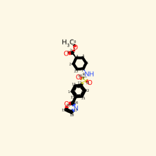 COC(=O)[C@H]1CC[C@H](NS(=O)(=O)c2ccc(-c3ncco3)cc2)CC1